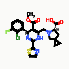 COC(=O)C1=C(CN2CC3(CC3)C[C@H]2C(=O)O)NC(c2nccs2)=N[C@H]1c1cccc(F)c1Cl